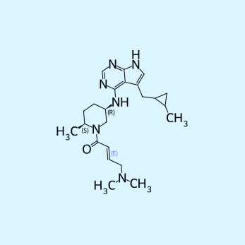 CC1CC1Cc1c[nH]c2ncnc(N[C@@H]3CC[C@H](C)N(C(=O)/C=C/CN(C)C)C3)c12